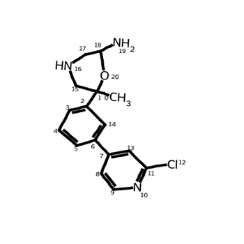 CC1(c2cccc(-c3ccnc(Cl)c3)c2)CNCC(N)O1